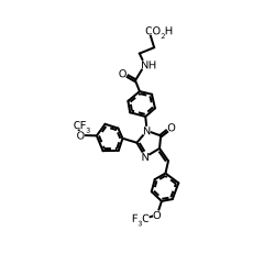 O=C(O)CCNC(=O)c1ccc(N2C(=O)C(=Cc3ccc(OC(F)(F)F)cc3)N=C2c2ccc(OC(F)(F)F)cc2)cc1